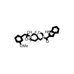 COc1cccc(CC(C)(C)N2CCC(CN(CC(F)(F)F)C(=O)c3cc4ccccc4[nH]3)CC2)c1